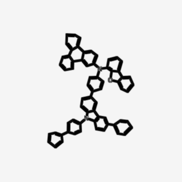 c1ccc(-c2ccc(-n3c4ccc(-c5ccccc5)cc4c4cc(-c5ccc(N(c6ccc7c8ccccc8c8ccccc8c7c6)c6cccc7c6oc6ccccc67)cc5)ccc43)cc2)cc1